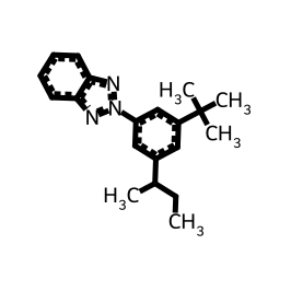 CCC(C)c1cc(-n2nc3ccccc3n2)cc(C(C)(C)C)c1